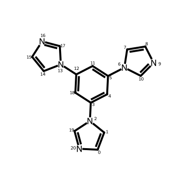 c1cn(-c2cc(-n3ccnc3)cc(-n3ccnc3)c2)cn1